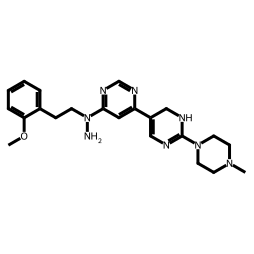 COc1ccccc1CCN(N)c1cc(C2=CN=C(N3CCN(C)CC3)NC2)ncn1